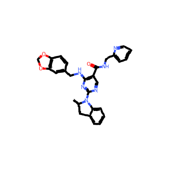 CC1Cc2ccccc2N1c1ncc(C(=O)NCc2ccccn2)c(NCc2ccc3c(c2)OCO3)n1